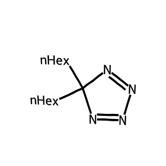 [CH2]CCCCCC1(CCCCCC)N=NN=N1